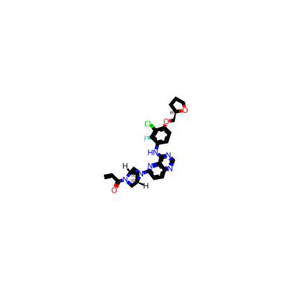 C=CC(=O)N1C[C@@H]2C[C@H]1CN2c1ccc2ncnc(Nc3ccc(OC[C@H]4CCCO4)c(Cl)c3F)c2n1